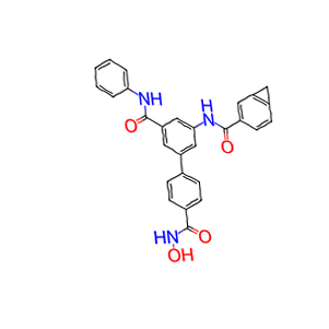 O=C(NO)c1ccc(-c2cc(NC(=O)c3ccc4c(c3)C4)cc(C(=O)Nc3ccccc3)c2)cc1